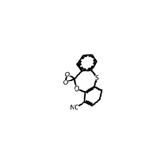 N#CC1=CCCC2=C1OC1(OO1)c1ccccc1S2